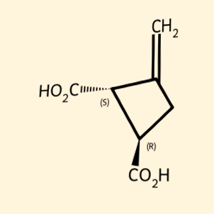 C=C1C[C@@H](C(=O)O)[C@@H]1C(=O)O